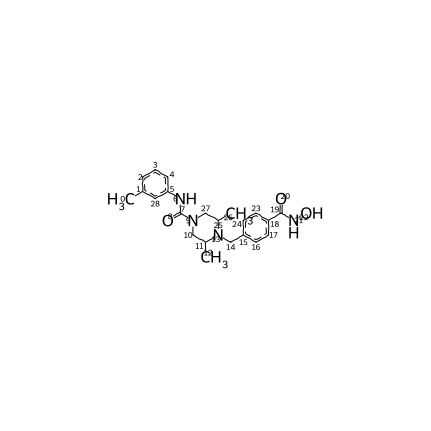 Cc1cccc(NC(=O)N2CC(C)N(Cc3ccc(C(=O)NO)cc3)C(C)C2)c1